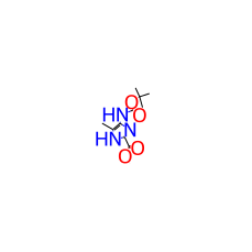 COC(=O)c1nc(NC(=O)OC(C)(C)C)c(C)[nH]1